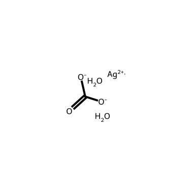 O.O.O=C([O-])[O-].[Ag+2]